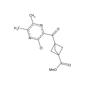 COC(=O)C12CC(C(=O)c3nc(C)c(C)nc3Cl)(C1)C2